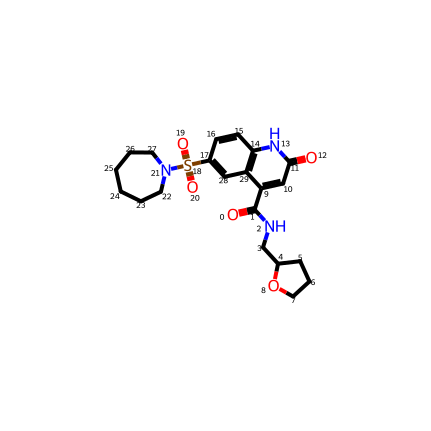 O=C(NCC1CCCO1)c1cc(=O)[nH]c2ccc(S(=O)(=O)N3CCCCCC3)cc12